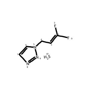 FC(F)=CCn1ccnn1.S